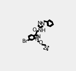 C[Si](C)(C)CCOCn1nc(C(=O)Nc2cnn(Cc3ccccc3)c2)c2ccc(Br)cc21